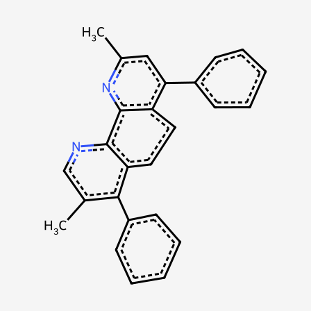 Cc1cc(-c2ccccc2)c2ccc3c(-c4ccccc4)c(C)cnc3c2n1